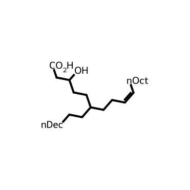 CCCCCCCC/C=C\CCC(CCCCCCCCCCCC)CCC(O)CC(=O)O